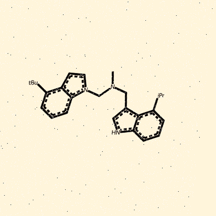 CC(C)c1cccc2[nH]cc(CN(C)Cn3ccc4c(C(C)(C)C)cccc43)c12